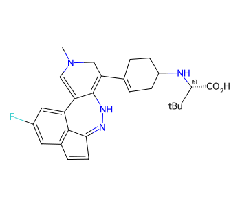 CN1C=C2C(=C(C3=CCC(N[C@H](C(=O)O)C(C)(C)C)CC3)C1)NN=C1C=Cc3cc(F)cc2c31